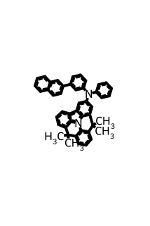 CC1(C)c2cccc3c2-n2c4c1cccc4c1cc(N(c4ccccc4)c4cccc(-c5ccc6ccccc6c5)c4)cc(c12)C3(C)C